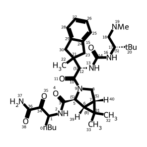 CCCCC(NC(=O)[C@@H]1[C@@H]2[C@H](CN1C(=O)[C@@H](NC(=O)N[C@H](CNC)C(C)(C)C)C1(C)Cc3ccccc3C1)C2(C)C)C(=O)C(N)=O